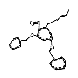 CCCCCc1cc(OCc2ccccc2)cc(OCc2ccccc2)c1C=O